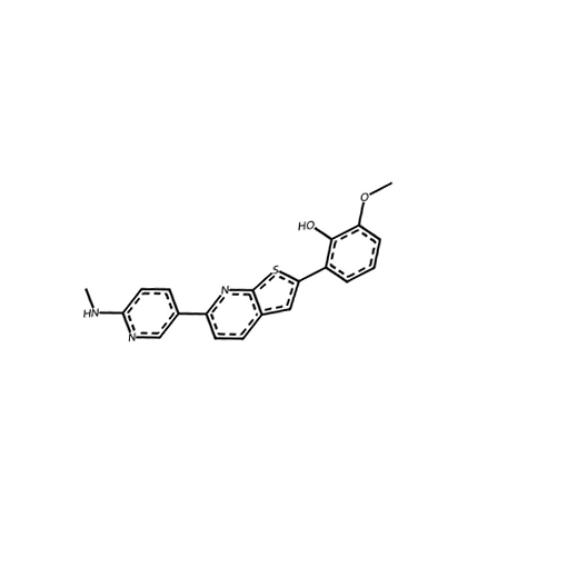 CNc1ccc(-c2ccc3cc(-c4cccc(OC)c4O)sc3n2)cn1